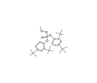 COOP(=O)(Oc1ccc(C(C)(C)C)cc1C(C)(C)C)Oc1ccc(C(C)(C)C)cc1C(C)(C)C